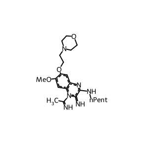 CCCCCNc1nc2cc(OCCN3CCOCC3)c(OC)cc2n(C(C)=N)c1=N